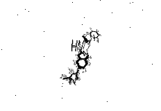 C=C(CN1CCCCC1)Nc1cc2cc(C3=CN=C(C)C3)ccc2cn1